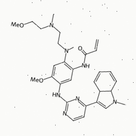 C=CC(=O)Nc1cc(Nc2nccc(C3=CN(C)C4C=CC=CC34)n2)c(OC)cc1N(C)CCN(C)CCOC